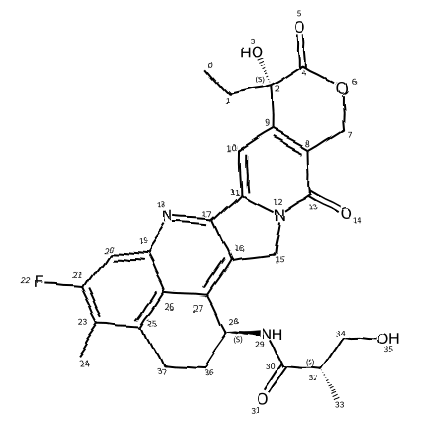 CC[C@@]1(O)C(=O)OCc2c1cc1n(c2=O)Cc2c-1nc1cc(F)c(C)c3c1c2[C@@H](NC(=O)[C@@H](C)CO)CC3